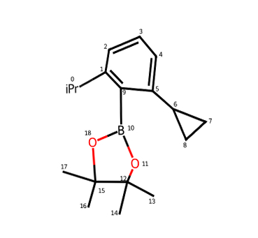 CC(C)c1cccc(C2CC2)c1B1OC(C)(C)C(C)(C)O1